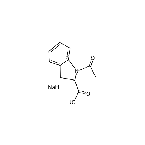 CC(=O)N1c2ccccc2CC1C(=O)O.[NaH]